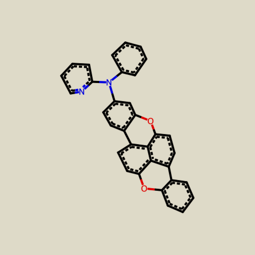 c1ccc(N(c2ccc3c(c2)Oc2ccc4c5c(ccc-3c25)Oc2ccccc2-4)c2ccccn2)cc1